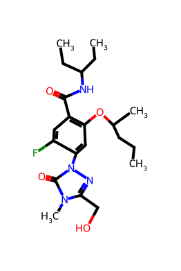 CCCC(C)Oc1cc(-n2nc(CO)n(C)c2=O)c(F)cc1C(=O)NC(CC)CC